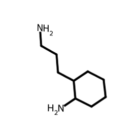 NCCCC1CCCCC1N